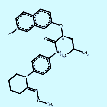 CON=C1CCCCN1c1ccc(NC(=O)[C@H](CC(C)C)Oc2ccc3cc[n+]([O-])cc3c2)cc1